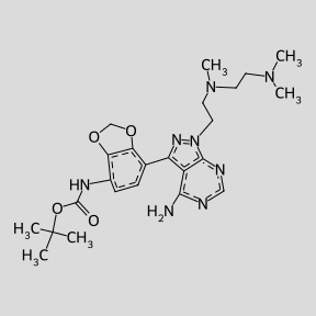 CN(C)CCN(C)CCn1nc(-c2ccc(NC(=O)OC(C)(C)C)c3c2OCO3)c2c(N)ncnc21